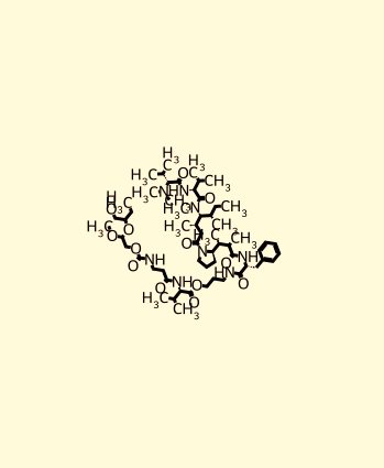 CCC(CO)OC(COC(=O)NCCC(=O)N[C@@H](C(=O)OCCCNC(=O)[C@@H](Cc1ccccc1)NC(=O)C(C)[C@H](C)[C@H]1CCCN1C(=O)C[C@H](C)[C@@H]([C@H](C)CC)N(C)C(=O)[C@H](NC(=O)[C@@H](C(C)C)N(C)C)C(C)C)C(C)C)OC